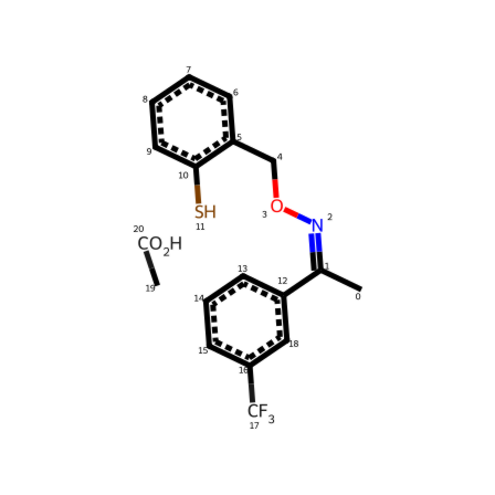 CC(=NOCc1ccccc1S)c1cccc(C(F)(F)F)c1.CC(=O)O